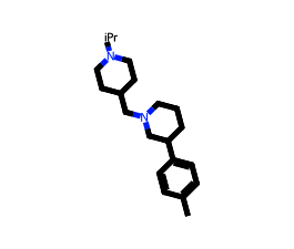 Cc1ccc(C2CCCN(CC3CCN(C(C)C)CC3)C2)cc1